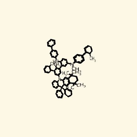 CC1=C(c2cc(N3c4ccccc4C(C4=CCCC=C4)(c4ccccc4)c4cc5c(cc43)C(C)(C)CCC5(C)C)cc(-c3cc(N(C)c4ccc(C5C=CC=CC5C)cc4)ccc3Nc3ccc(-c4ccccc4)cc3)c2C)C=C=C=C1